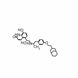 CC(Cc1ccc(OCCC2CC3CCCC(C3)C2)cc1)NC[C@H](O)c1ccc(O)c2[nH]c(=O)ccc12